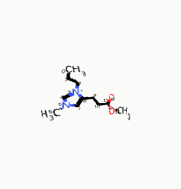 CCC[n+]1cn(C)cc1CCC(=O)OC